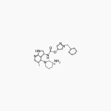 Cc1cnc2[nH]cc(NC(=O)Oc3cnn(Cc4ccccc4)c3)c2c1N1CCC[C@@H](N)C1